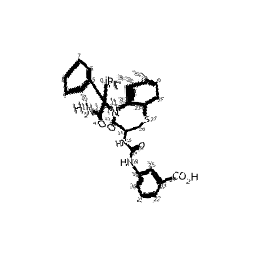 CC(C)C(C(N)=O)(c1ccccc1)N1C(=O)C(NC(=O)Nc2cccc(C(=O)O)c2)CSc2ccccc21